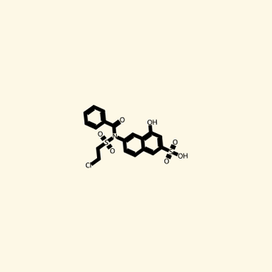 O=C(c1ccccc1)N(c1ccc2cc(S(=O)(=O)O)cc(O)c2c1)S(=O)(=O)CCCl